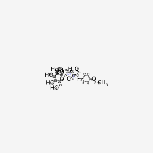 C=C/C(Cc1ccc(OCC)cc1)=C(Cl)\C=C/C[C@]1(OC)O[C@H](CO)[C@@H](O)[C@H](O)[C@H]1O